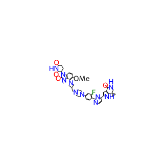 COc1ccc2c(c1N1CC(CN3CCN(c4ccc(-c5nccc(-c6cc7c([nH]6)C6(CC6)CNC7=O)n5)c(F)c4)CC3)C1)n(C)c(=O)n2C1CCC(=O)NC1=O